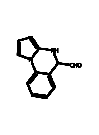 O=CC1Nc2cccn2-c2ccccc21